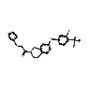 O=C(CCc1cnc[nH]1)N1CCc2ccc(Oc3ccc(C(F)(F)F)c(F)c3)cc2C1